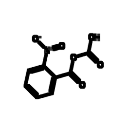 O=C(O)OC(=O)c1ccccc1[N+](=O)[O-]